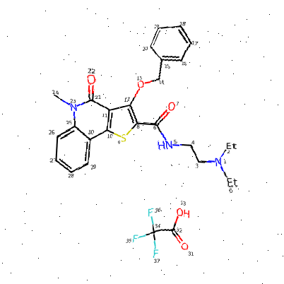 CCN(CC)CCNC(=O)c1sc2c(c1OCc1ccccc1)c(=O)n(C)c1ccccc21.O=C(O)C(F)(F)F